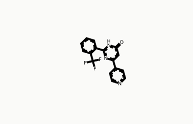 O=c1cc(-c2ccncc2)nc(-c2ccccc2C(F)(F)F)[nH]1